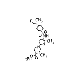 Cc1nc(N2CCN(C(=O)OC(C)(C)C)[C@@H](C)C2)ccc1NS(=O)(=O)c1ccc([C@@H](C)CF)cc1